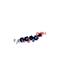 Cn1c2c(c3ccc(-n4ccc(-c5ccc(C(F)(F)F)cn5)cc4=O)cc31)CN(C(=O)CC(C)(C)O)CC2